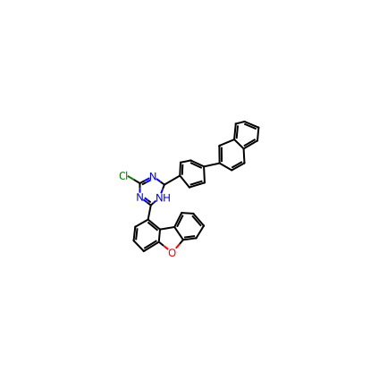 ClC1=NC(c2ccc(-c3ccc4ccccc4c3)cc2)NC(c2cccc3oc4ccccc4c23)=N1